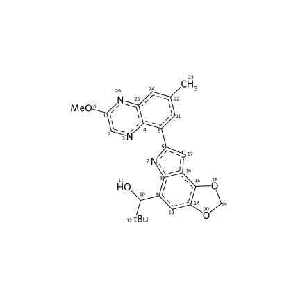 COc1cnc2c(-c3nc4c(C(O)C(C)(C)C)cc5c(c4s3)OCO5)cc(C)cc2n1